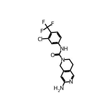 Nc1cc2c(cn1)CCN(C(=O)Nc1ccc(C(F)(F)F)c(Cl)c1)C2